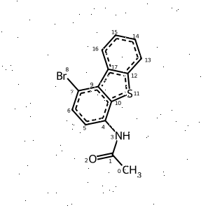 CC(=O)Nc1ccc(Br)c2c1sc1ccccc12